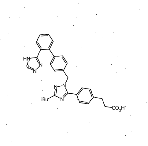 CCC(C)c1nc(-c2ccc(CCC(=O)O)cc2)n(Cc2ccc(-c3ccccc3-c3nnn[nH]3)cc2)n1